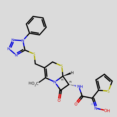 O=C(O)C1=C(CSc2nnnn2-c2ccccc2)CS[C@@H]2[C@H](NC(=O)/C(=N/O)c3cccs3)C(=O)N12